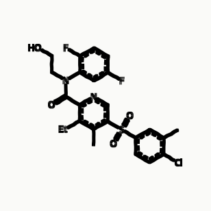 CCc1c(C(=O)N(CCO)c2cc(F)ccc2F)ncc(S(=O)(=O)c2ccc(Cl)c(C)c2)c1C